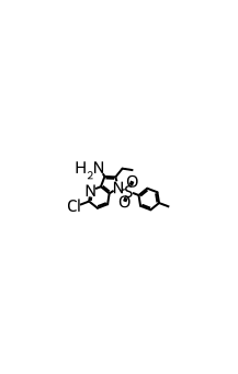 CCc1c(N)c2nc(Cl)ccc2n1S(=O)(=O)c1ccc(C)cc1